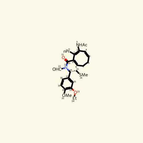 CCCC1=C(NC(C)=O)/C=C\CC/C=C\1C(=O)N(C=O)[C@H](CSC)c1ccc(OC)c(OCC)c1